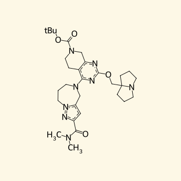 CN(C)C(=O)c1cc2n(n1)CCCN(c1nc(OCC34CCCN3CCC4)nc3c1CCN(C(=O)OC(C)(C)C)C3)C2